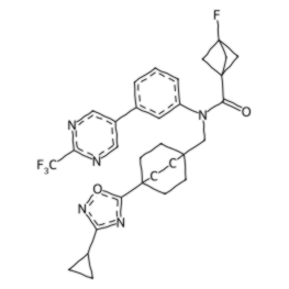 O=C(N(CC12CCC(c3nc(C4CC4)no3)(CC1)CC2)c1cccc(-c2cnc(C(F)(F)F)nc2)c1)C12CC(F)(C1)C2